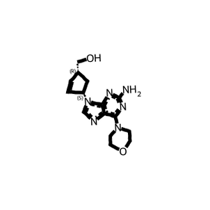 Nc1nc(N2CCOCC2)c2ncn([C@@H]3C=C[C@H](CO)C3)c2n1